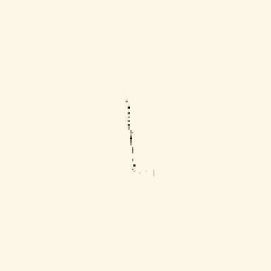 CCCC=CCC=CCC=CCC=CCCCCCCCC(=O)O